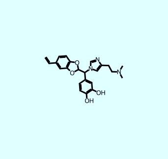 C=Cc1ccc2c(c1)OC(C(c1ccc(O)c(O)c1)n1cnc(CCN(C)C)c1)O2